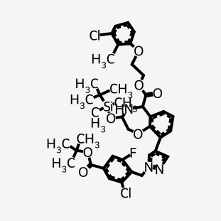 Cc1c(Cl)cccc1OCCOC(=O)C1NC(O[Si](C)(C)C(C)(C)C)COc2c(-c3cnn(Cc4c(F)cc(C(=O)OC(C)(C)C)cc4Cl)c3)cccc21